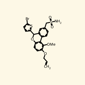 C=CCOc1ccc2c(c1OC)-c1ccc(CS(N)(=O)=O)cc1C(c1ccc(Br)s1)O2